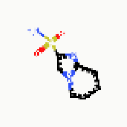 NS(=O)(=O)c1cn2ccccc2n1